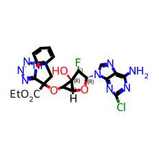 CCOC(=O)C(Cc1ccccc1)(OC1[C@H]2O[C@@H](n3cnc4c(N)nc(Cl)nc43)[C@@H](F)[C@@]12O)c1nnn[nH]1